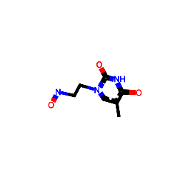 Cc1cn(CCN=O)c(=O)[nH]c1=O